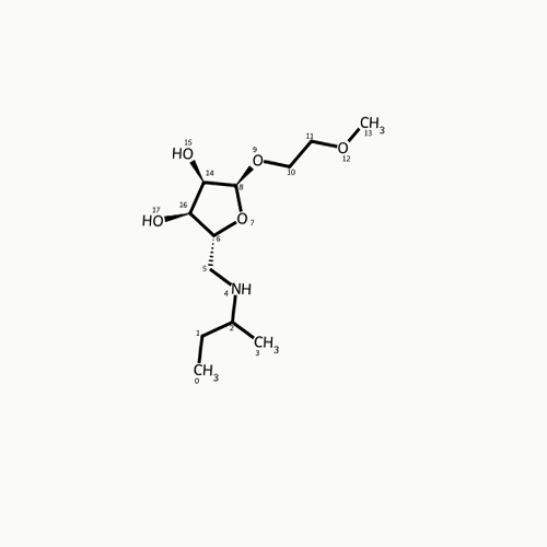 CCC(C)NC[C@H]1O[C@H](OCCOC)[C@H](O)[C@@H]1O